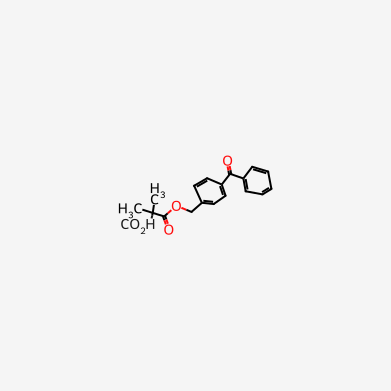 CC(C)(C(=O)O)C(=O)OCc1ccc(C(=O)c2ccccc2)cc1